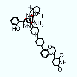 Nc1nnc(-c2ccccc2O)cc1N1C[C@H]2CC[C@@H](C1)N2c1nccc(C2CCN(C3CCC(c4cccc5c4OCCN5C4CCC(=O)NC4=O)CC3)CC2)n1